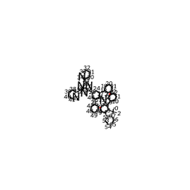 CC1(C)c2c(ccc3c2c2ccccc2n3-c2c(-c3ccccc3)cc(-c3nc(-c4ccccn4)nc(-c4ccccn4)n3)cc2-c2ccccc2)C2C=CC=CC21